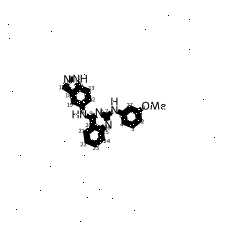 COc1cccc(Nc2nc(Nc3ccc4[nH]ncc4c3)c3ccccc3n2)c1